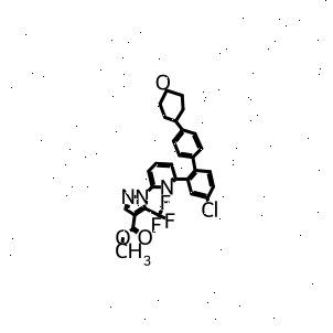 COC(=O)c1cnn(-c2cccc(-c3cc(Cl)ccc3-c3ccc(C4CCC(=O)CC4)cc3)n2)c1C(F)(F)F